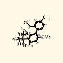 [2H]C([2H])([2H])C([2H])(c1cc(-c2ccc(C)cc2CCl)c(OC)cc1F)C([2H])([2H])[2H]